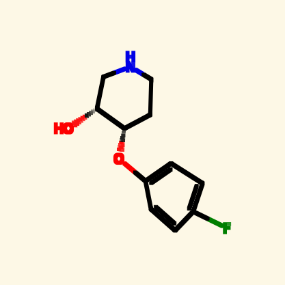 O[C@@H]1CNCC[C@@H]1Oc1ccc(F)cc1